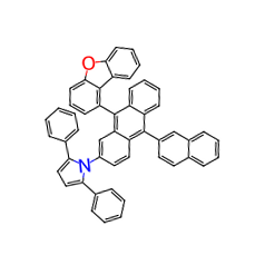 c1ccc(-c2ccc(-c3ccccc3)n2-c2ccc3c(-c4ccc5ccccc5c4)c4ccccc4c(-c4cccc5oc6ccccc6c45)c3c2)cc1